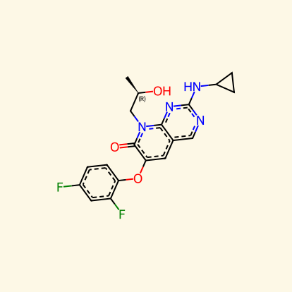 C[C@@H](O)Cn1c(=O)c(Oc2ccc(F)cc2F)cc2cnc(NC3CC3)nc21